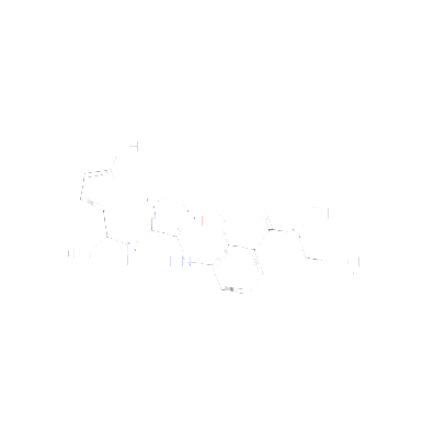 Cc1ccc(C(Nc2nsnc2Nc2cccc(C(=O)N(C)CC(=O)O)c2O)C(C)(C)C)s1